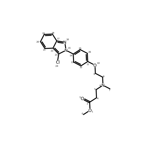 COC(=O)CCN(C)CCOc1ccc(-n2nc3ccccc3c2Cl)cc1